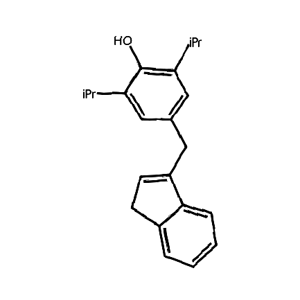 CC(C)c1cc(CC2=CCc3ccccc32)cc(C(C)C)c1O